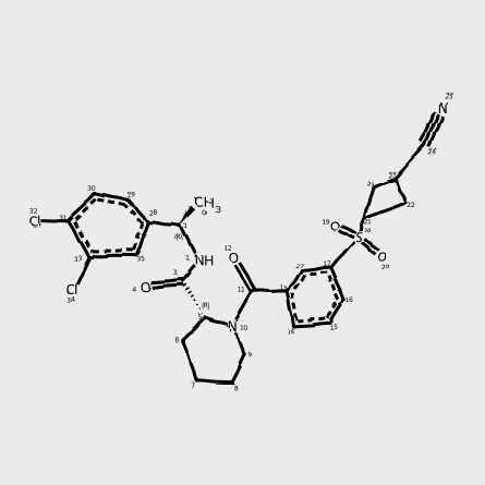 C[C@@H](NC(=O)[C@H]1CCCCN1C(=O)c1cccc(S(=O)(=O)C2CC(C#N)C2)c1)c1ccc(Cl)c(Cl)c1